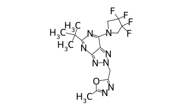 Cc1nnc(Cn2nc3nc(C(C)(C)C)nc(N4CC(F)(F)C(F)(F)C4)c3n2)o1